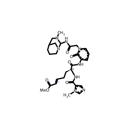 COC(=O)/C=C/CC[C@H](NC(=O)c1cncn1C)C(=O)Nc1cccn(CC(=O)NC2N(C)CC3CCCN2C3)c1=O